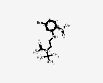 CC(C)(C)N(CCNc1cc(Br)ccc1[N+](=O)[O-])C(=O)O